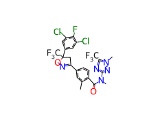 Cc1cc(C2=NOC(c3cc(Cl)c(F)c(Cl)c3)(C(F)(F)F)C2)ccc1C(=O)N(C)c1nc(C(F)(F)F)n(C)n1